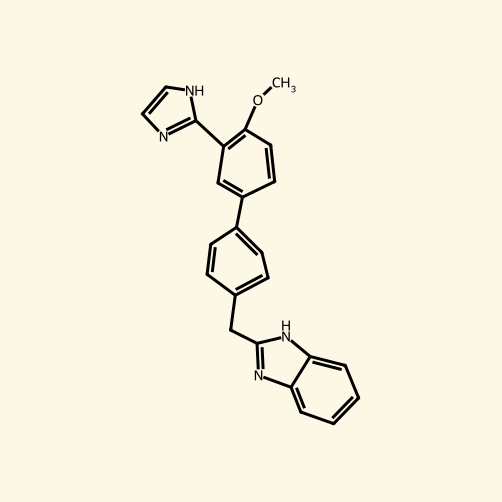 COc1ccc(-c2ccc(Cc3nc4ccccc4[nH]3)cc2)cc1-c1ncc[nH]1